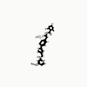 CCc1cc(F)cc(C)c1C(=O)NC(Cc1ccc(-c2cc(CNc3cc(OC)ccn3)cs2)cc1)C(=O)O